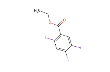 O=C(OC[SiH3])c1cc(I)c(I)cc1I